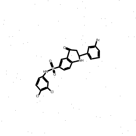 CC(=O)c1cccc(C2CC(=O)c3cc(S(=O)(=O)Nc4ccc(Cl)c(Cl)c4)ccc3N2)c1